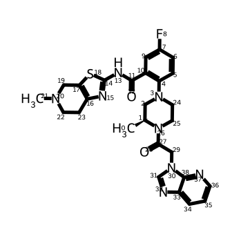 C[C@H]1CN(c2ccc(F)cc2C(=O)Nc2nc3c(s2)CN(C)CC3)CCN1C(=O)Cn1cnc2cccnc21